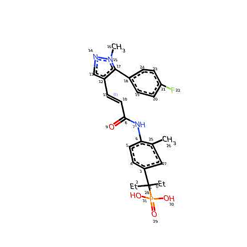 CCC(CC)(c1ccc(NC(=O)/C=C/c2cnn(C)c2-c2ccc(F)cc2)c(C)c1)P(=O)(O)O